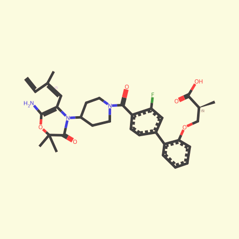 C=C/C(C)=C\C1=C(N)OC(C)(C)C(=O)N1C1CCN(C(=O)c2ccc(-c3ccccc3OC[C@H](C)C(=O)O)cc2F)CC1